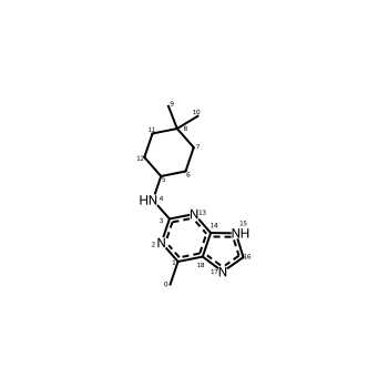 Cc1nc(NC2CCC(C)(C)CC2)nc2[nH]cnc12